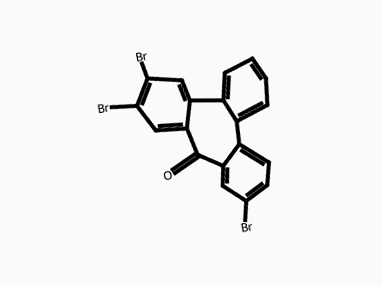 O=c1c2cc(Br)ccc2c2ccccc2c2cc(Br)c(Br)cc12